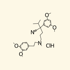 COc1cc(OC)cc(C(C#N)(CCCN(C)CCc2ccc(OC)c(OC)c2)C(C)C)c1.Cl